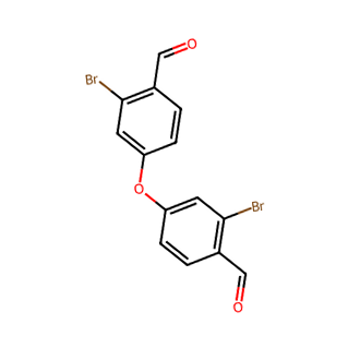 O=Cc1ccc(Oc2ccc(C=O)c(Br)c2)cc1Br